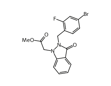 COC(=O)Cn1c2ccccc2c(=O)n1Cc1ccc(Br)cc1F